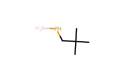 BPCC(C)(C)C